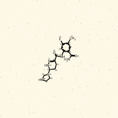 Cc1cc(C(N)=O)c(NC(=O)C2=NNC(N3CCNC3)CC2)cc1F